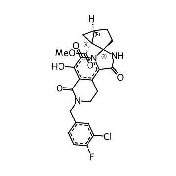 COC(=O)[C@]12C[C@H]1CC[C@]21NC(=O)c2c3c(c(O)c(=O)n21)C(=O)N(Cc1ccc(F)c(Cl)c1)CC3